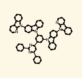 c1ccc(-c2cc(-c3cc(-n4c5ccccc5c5cc(-n6c7ccccc7c7cccnc76)ccc54)cc(-n4c5ccccc5c5cc(-n6c7ccccc7c7cccnc76)ccc54)c3)nc(-c3ccccc3)n2)cc1